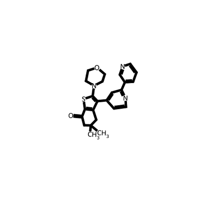 CC1(C)CC(=O)c2sc(N3CCOCC3)c(-c3ccnc(-c4cccnc4)c3)c2C1